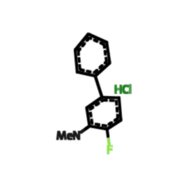 CNc1cc(-c2ccccc2)ccc1F.Cl